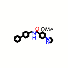 COc1cc(-n2cccn2)ccc1C(=O)NCc1ccc(-c2ccccc2)cc1